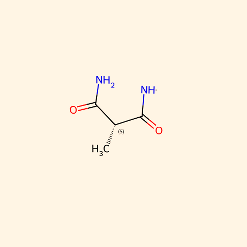 C[C@@H](C([NH])=O)C(N)=O